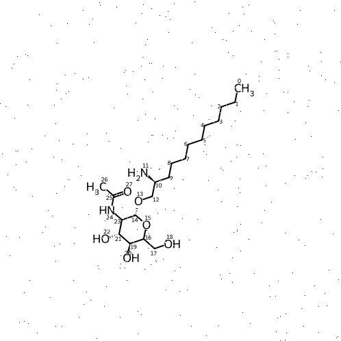 CCCCCCCCCC[C@H](N)CO[C@@H]1OC(CO)[C@@H](O)[C@H](O)C1NC(C)=O